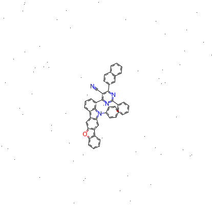 N#Cc1c(-c2ccc3ccccc3c2)nc(-c2ccccc2)nc1-c1cccc2c3cc4oc5ccccc5c4cc3n(-c3ccccc3)c12